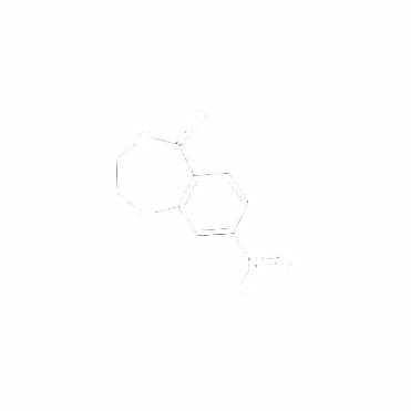 O=C1OCCOc2cc([N+](=O)[O-])ccc21